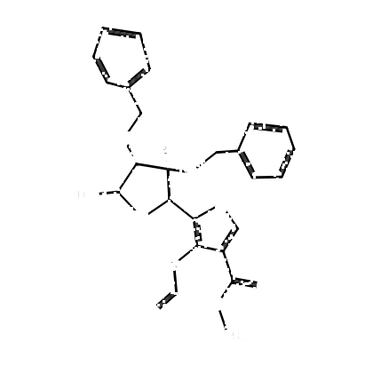 COC(=O)c1csc(C2OC(C)[C@@H](OCc3ccccc3)[C@@]2(C)OCc2ccccc2)c1NC=O